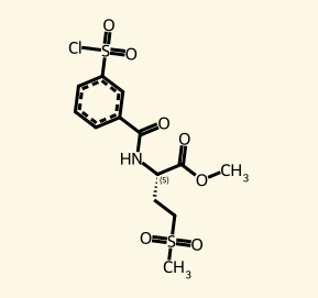 COC(=O)[C@H](CCS(C)(=O)=O)NC(=O)c1cccc(S(=O)(=O)Cl)c1